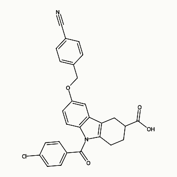 N#Cc1ccc(COc2ccc3c(c2)c2c(n3C(=O)c3ccc(Cl)cc3)CCC(C(=O)O)C2)cc1